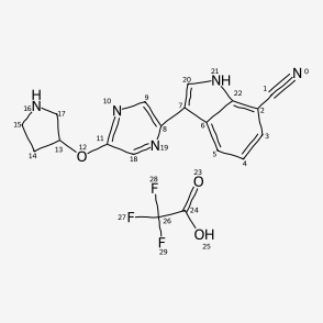 N#Cc1cccc2c(-c3cnc(OC4CCNC4)cn3)c[nH]c12.O=C(O)C(F)(F)F